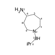 CC(C)BN1CCCC(N)CC1